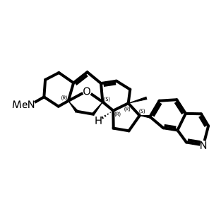 CNC1CCC2=CC3=CC[C@]4(C)[C@@H](c5ccc6ccncc6c5)CC[C@H]4[C@@]34CC[C@]2(C1)O4